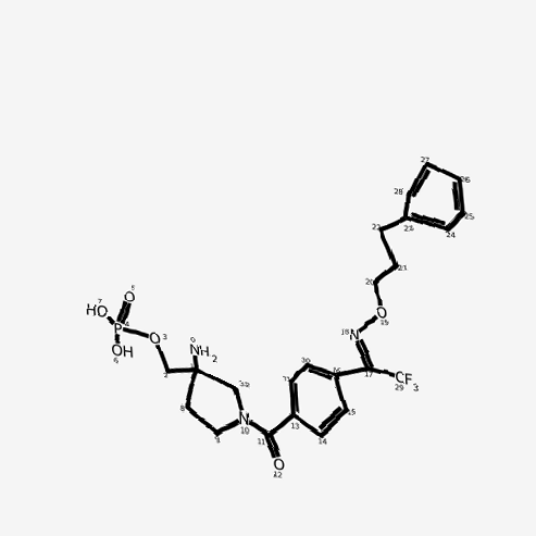 NC1(COP(=O)(O)O)CCN(C(=O)c2ccc(C(=NOCCCc3ccccc3)C(F)(F)F)cc2)C1